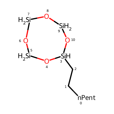 CCCCCCC[SiH]1O[SiH2]O[SiH2]O[SiH2]O1